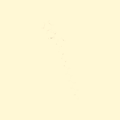 C=CC(CCCCCCCCCCCCCCCC)C(=O)Oc1ccccc1